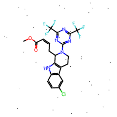 COC(=O)/C=C\CC1c2[nH]c3ccc(Cl)cc3c2CCN1c1nc(C(F)(F)F)nc(C(F)(F)F)n1